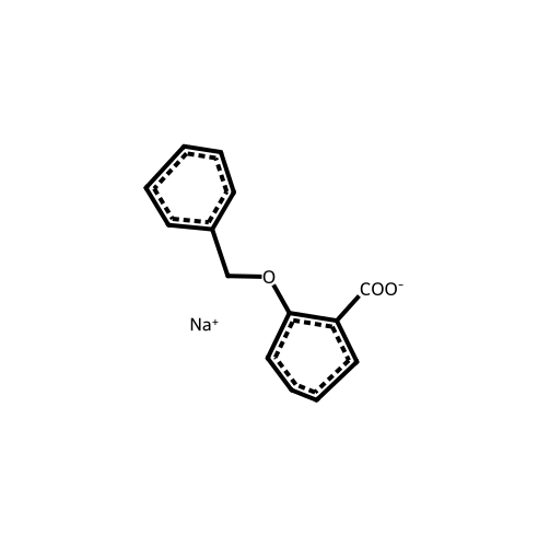 O=C([O-])c1ccccc1OCc1ccccc1.[Na+]